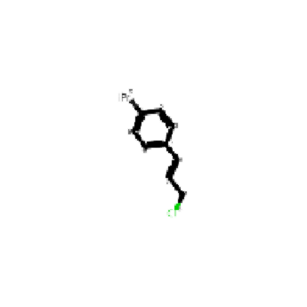 CC(C)c1ccc(C=CCCl)cc1